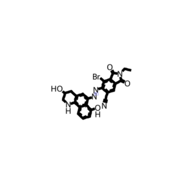 CCN1C(=O)c2cc(C#N)c(/N=N/c3cc4c(c5cccc(O)c35)NCC(O)C4)c(Br)c2C1=O